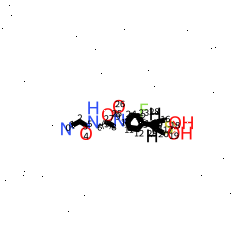 N#CCC(=O)NC[C@H]1CN(c2ccc(C3[C@H]4CS(O)(O)C[C@@H]34)c(F)c2)C(=O)O1